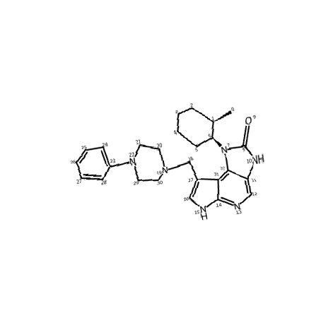 C[C@@H]1CCCC[C@@H]1n1c(=O)[nH]c2cnc3[nH]cc(CN4CCN(c5ccccc5)CC4)c3c21